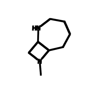 CN1CC2NCCCCC21